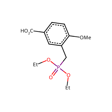 CCOP(=O)(Cc1cc(C(=O)O)ccc1OC)OCC